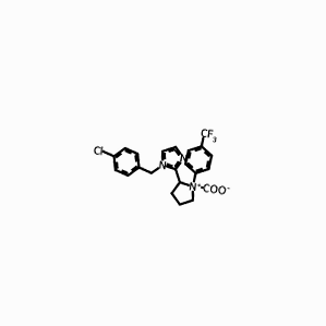 O=C([O-])[N+]1(c2ccc(C(F)(F)F)cc2)CCCC1c1nccn1Cc1ccc(Cl)cc1